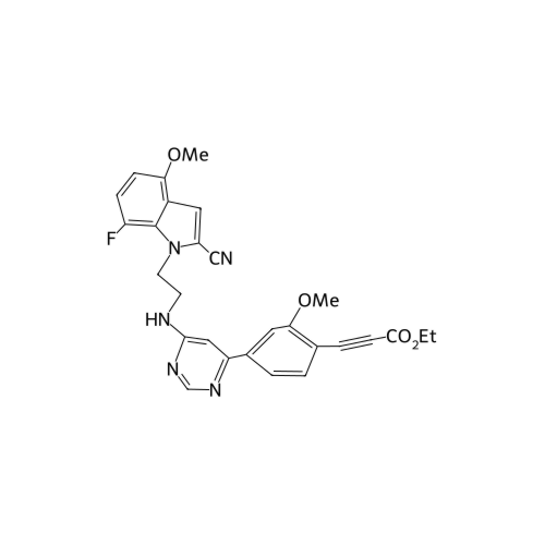 CCOC(=O)C#Cc1ccc(-c2cc(NCCn3c(C#N)cc4c(OC)ccc(F)c43)ncn2)cc1OC